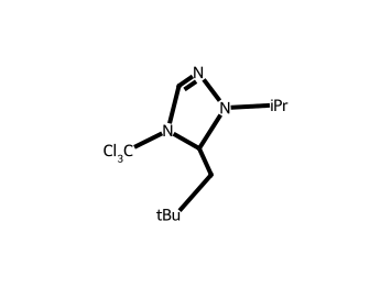 CC(C)N1N=CN(C(Cl)(Cl)Cl)C1CC(C)(C)C